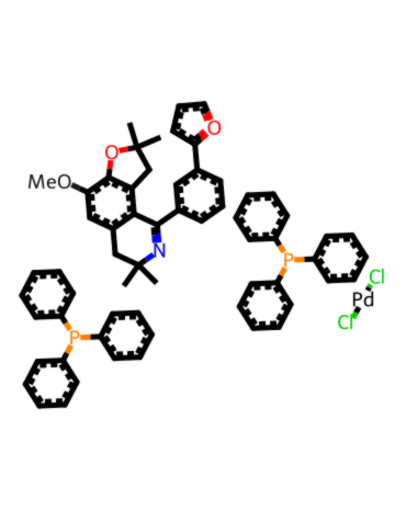 COc1cc2c(c3c1OC(C)(C)C3)C(c1cccc(-c3ccco3)c1)=NC(C)(C)C2.[Cl][Pd][Cl].c1ccc(P(c2ccccc2)c2ccccc2)cc1.c1ccc(P(c2ccccc2)c2ccccc2)cc1